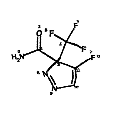 NC(=O)C1(C(F)(F)F)N=NC=C1F